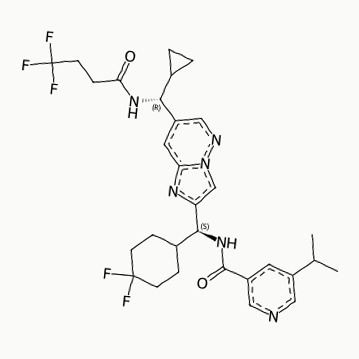 CC(C)c1cncc(C(=O)N[C@H](c2cn3ncc([C@H](NC(=O)CCC(F)(F)F)C4CC4)cc3n2)C2CCC(F)(F)CC2)c1